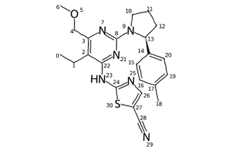 CCc1c(COC)nc(N2CCC[C@H]2c2ccc(C)cc2)nc1Nc1ncc(C#N)s1